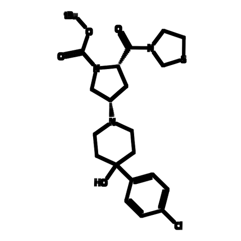 CC(C)(C)OC(=O)N1C[C@@H](N2CCC(O)(c3ccc(Cl)cc3)CC2)C[C@H]1C(=O)N1CCSC1